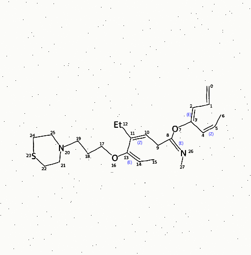 C=C/C=C(\C=C/C)O/C(C/C=C(CC)\C(=C/C)OCCCN1CCSCC1)=N/C